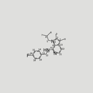 Cc1c(C)n(CC(C)C)c2c(NCc3ccc(F)cc3)nccc12